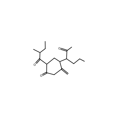 C=C1CC(=O)C(C(=O)C(C)CC)CC1C(CCC)C(C)=O